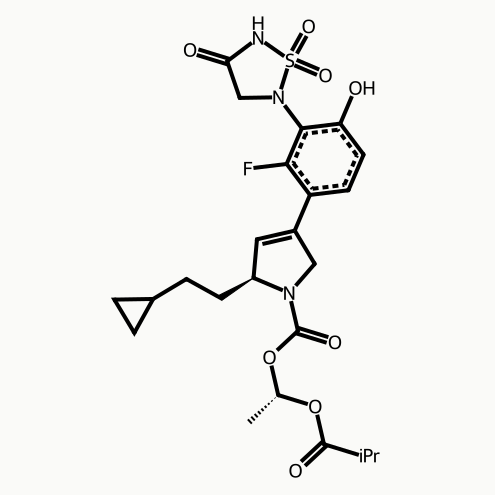 CC(C)C(=O)O[C@H](C)OC(=O)N1CC(c2ccc(O)c(N3CC(=O)NS3(=O)=O)c2F)=C[C@@H]1CCC1CC1